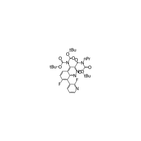 CCCN(C(=O)OC(C)(C)C)C(=O)c1c(N(C(=O)OC(C)(C)C)C(=O)OC(C)(C)C)c2ccc(F)c(-c3cccnc3F)c2n[n+]1[O-]